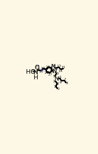 CCCCN(CCCC)CCn1c(CCC)nc2cc(/C=C/C(=O)NO)ccc21